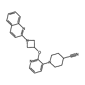 N#CC1CCN(c2cccnc2OC2CN(c3ccc4ccccc4n3)C2)CC1